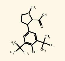 CN1CCC(c2cc(C(C)(C)C)c(O)c(C(C)(C)C)c2)[C@H]1C(=O)O